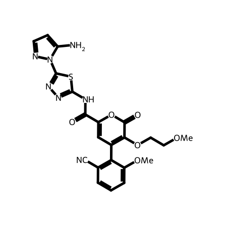 COCCOc1c(-c2c(C#N)cccc2OC)cc(C(=O)Nc2nnc(-n3nccc3N)s2)oc1=O